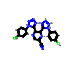 N#Cc1cnc(-c2nnnn2-c2ccc(Cl)cc2)c(-c2nnnn2-c2ccc(Cl)cc2)n1